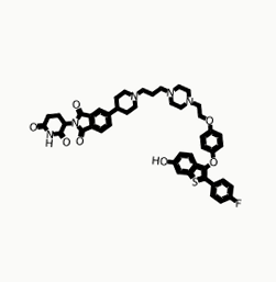 O=C1CCC(N2C(=O)c3ccc(C4CCN(CCCN5CCN(CCOc6ccc(Oc7c(-c8ccc(F)cc8)sc8cc(O)ccc78)cc6)CC5)CC4)cc3C2=O)C(=O)N1